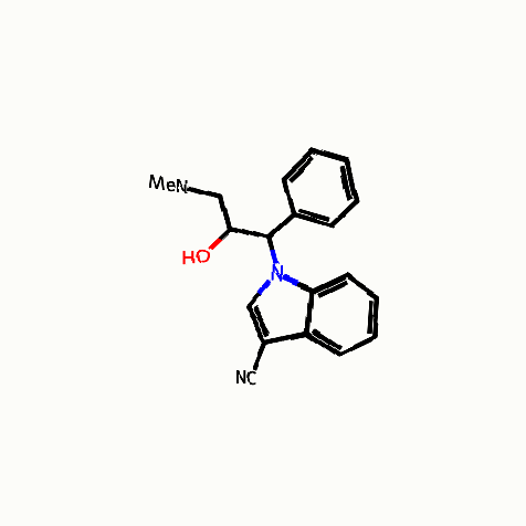 CNCC(O)C(c1ccccc1)n1cc(C#N)c2ccccc21